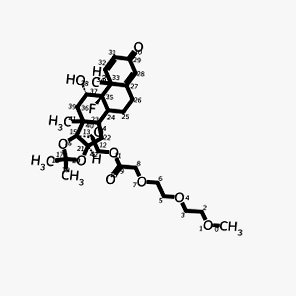 COCCOCCOCC(=O)OCC(=O)[C@@]12OC(C)(C)O[C@@H]1CC1C3CCC4=CC(=O)C=CC4(C)[C@@]3(F)[C@@H](O)CC12C